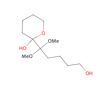 COC(CCCCO)(OC)C1(O)CCCCO1